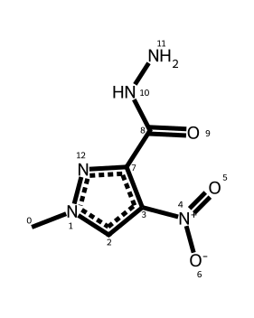 Cn1cc([N+](=O)[O-])c(C(=O)NN)n1